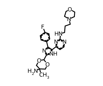 CC1(N)COC(c2nc(-c3ccc(F)cc3)c(-c3ccnc(NCCCN4CCOCC4)n3)[nH]2)OC1